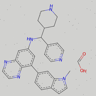 Cn1ccc2ccc(-c3cc(NC(c4ccncc4)C4CCNCC4)cc4nccnc34)cc21.O=CO